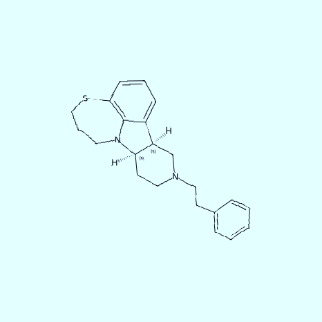 c1ccc(CCN2CC[C@@H]3[C@H](C2)c2cccc4c2N3CCCS4)cc1